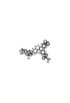 CCC(=C(c1ccc(OCC(CN(CC)CC)OC(C)=O)cc1)c1ccc(OC(=O)C2CC2)cc1)c1ccc2c(c1)OCO2